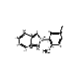 Cc1ccc(O)c(-n2cc3ccccc3n2)c1